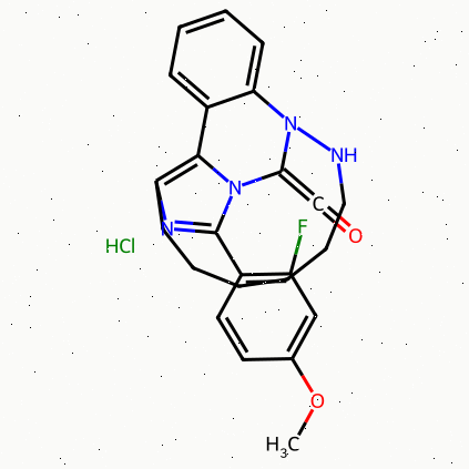 COc1ccc(-c2nc3c4n2C(=C=O)N(NCCCCCC3)c2ccccc2-4)c(F)c1.Cl